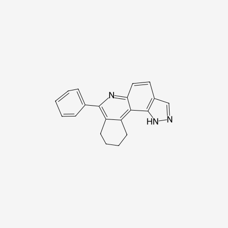 c1ccc(-c2nc3ccc4cn[nH]c4c3c3c2CCCC3)cc1